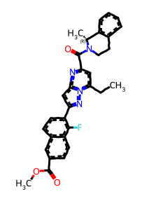 CCc1cc(C(=O)N2CCc3ccccc3[C@H]2C)nc2cc(-c3ccc4cc(C(=O)OC)ccc4c3F)nn12